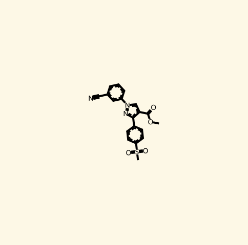 COC(=O)c1cn(-c2cccc(C#N)c2)nc1-c1ccc(S(C)(=O)=O)cc1